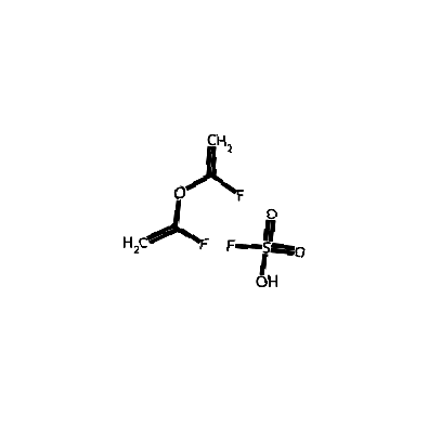 C=C(F)OC(=C)F.O=S(=O)(O)F